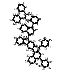 c1ccc(-c2nc3cccc(-c4ccc(-n5c6ccccc6c6cc7c8c9ccccc9c(-c9ccccc9)cc8n(-c8ccccc8)c7cc65)c5ccccc45)c3nc2-c2ccccc2)cc1